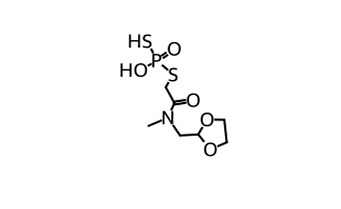 CN(CC1OCCO1)C(=O)CSP(=O)(O)S